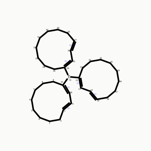 C1=C/CCCCCCCC\[C]([Ti](/[C]2=C/C=C/CCCCCCCC2)/[C]2=C/C=C/CCCCCCCC2)=C/1